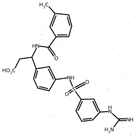 Cc1cccc(C(=O)NC(CC(=O)O)c2cccc(NS(=O)(=O)c3cccc(NC(=N)N)c3)c2)c1